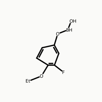 CCOc1ccc(OBO)cc1F